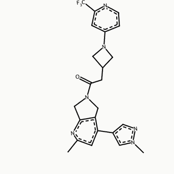 Cc1cc(-c2cnn(C)c2)c2c(n1)CN(C(=O)CC1CN(c3ccnc(C(F)(F)F)c3)C1)C2